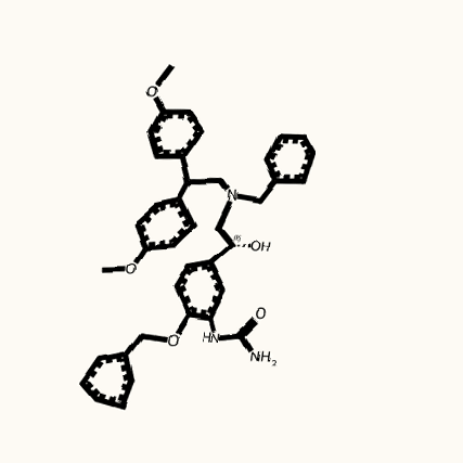 COc1ccc(C(CN(Cc2ccccc2)C[C@H](O)c2ccc(OCc3ccccc3)c(NC(N)=O)c2)c2ccc(OC)cc2)cc1